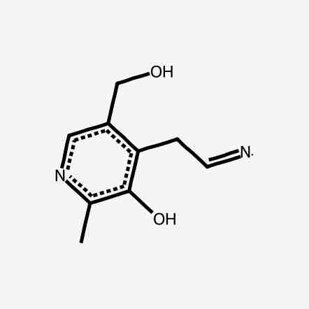 Cc1ncc(CO)c(CC=[N])c1O